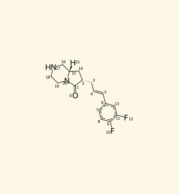 O=C1[C@@H](C/C=C/c2ccc(F)c(F)c2)C[C@H]2CNCCN12